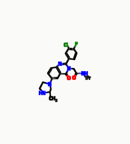 CC(C)NC(=O)Cn1c(-c2ccc(F)c(Cl)c2)nc2ccc(N3CCNC(C)C3)cc2c1=O